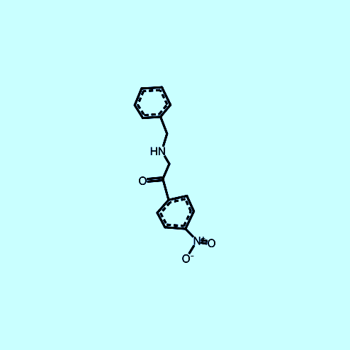 O=C(CNCc1ccccc1)c1ccc([N+](=O)[O-])cc1